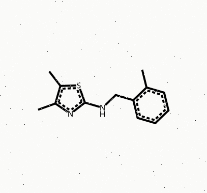 Cc1ccccc1CNc1nc(C)c(C)s1